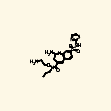 CCCN(OCCN)C(=O)C1=Cc2ccc(S(=O)(=O)Nc3nccs3)cc2N=C(N)C1